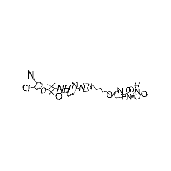 CC1(C)C(NC(=O)c2ccc(N3CCN(CCCCCOc4ccc(C(=O)N[C@@H]5CCC(=O)NC5=O)nc4)CC3)nc2)C(C)(C)C1Oc1ccc(C#N)c(Cl)c1